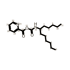 CCCCCCC(CCCCC)NC(=O)OC(=O)c1ccccn1